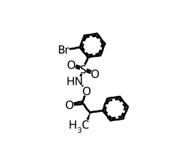 C[C@@H](C(=O)ONS(=O)(=O)c1ccccc1Br)c1ccccc1